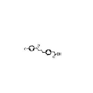 O=C(O)Cc1ccc(CCC[S+]([O-])c2ccc(Cl)cc2)cc1